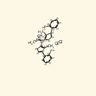 CC1=[C]([Zr+2]([C]2=C(C)C(c3ccccc3F)=CC2)=[Si](C)C)CC=C1c1ccccc1F.[Cl-].[Cl-]